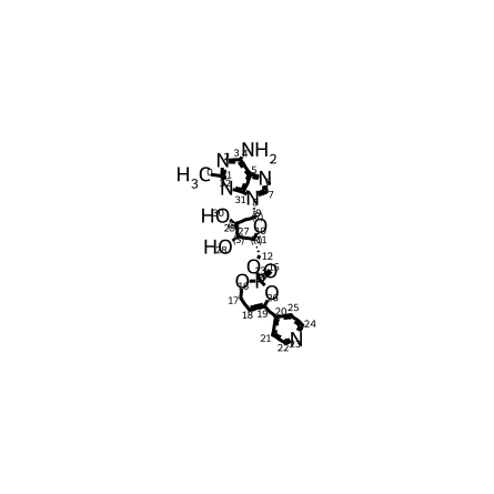 Cc1nc(N)c2ncn([C@@H]3O[C@H](COP4(=O)OCC=C(c5ccncc5)O4)[C@@H](O)[C@H]3O)c2n1